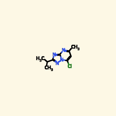 Cc1cc(Cl)n2nc(C(C)C)nc2n1